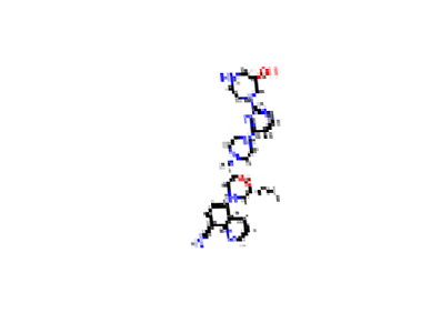 C[C@@H]1CN(c2ccc(C#N)c3ncccc23)C[C@H](CN2CCN(c3ccnc(N4CCNCC(O)C4)n3)CC2)O1